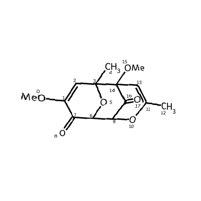 COC1=CC2(C)OC(C1=O)C1OC(C)=CC2(OC)C1=O